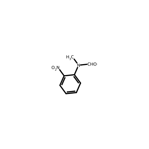 CN([C]=O)c1ccccc1[N+](=O)[O-]